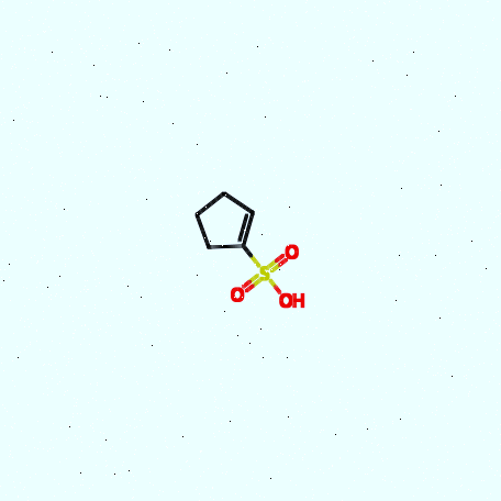 O=S(=O)(O)C1=CCCC1